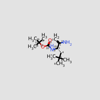 C=C(N)[C@H](CC(C)(C)C)NC(=O)OC(C)(C)C